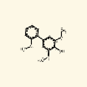 COc1ccccc1-c1cc(OC)c(O)c(OC)c1